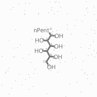 CCCCCC(O)C(O)C(O)C(O)C(O)CO